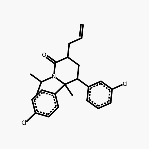 C=CCC1CC(c2cccc(Cl)c2)C(C)(c2ccc(Cl)cc2)N(C(C)C)C1=O